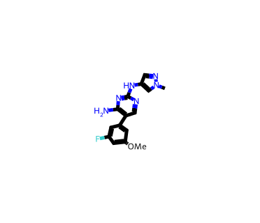 COc1cc(F)cc(-c2cnc(Nc3cnn(C)c3)nc2N)c1